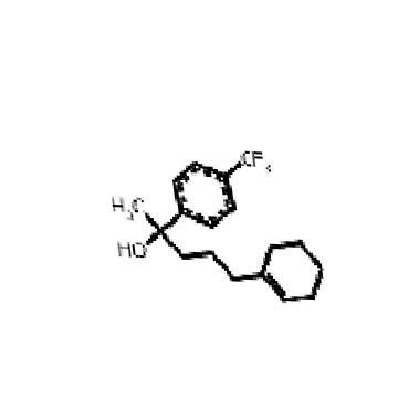 CC(O)(CCCC1=CCCCC1)c1ccc(C(F)(F)F)cc1